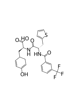 O=C(N[C@@H](Cc1cccs1)C(=O)N[C@@H](CC1C=CC(O)=CC1)C(=O)O)c1cccc(C(F)(F)F)c1